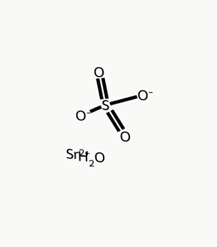 O.O=S(=O)([O-])[O-].[Sr+2]